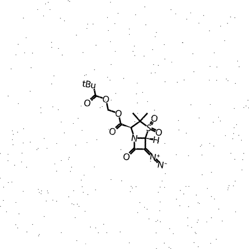 CC(C)(C)C(=O)OCOC(=O)[C@@H]1N2C(=O)C(=[N+]=[N-])[C@H]2S(=O)(=O)C1(C)C